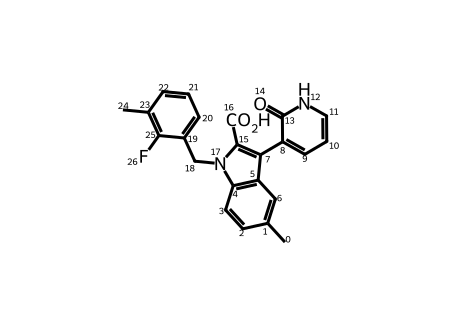 Cc1ccc2c(c1)c(-c1ccc[nH]c1=O)c(C(=O)O)n2Cc1cccc(C)c1F